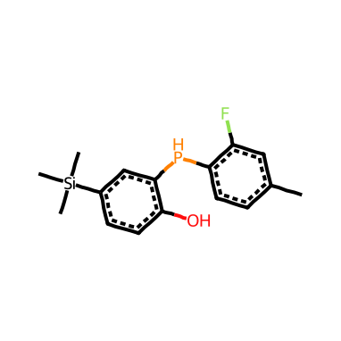 Cc1ccc(Pc2cc([Si](C)(C)C)ccc2O)c(F)c1